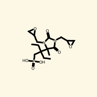 CCC(CC)(CP(=O)(O)O)C1(C)C(=O)N(CC2CO2)C(=O)N1CC1CO1